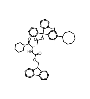 O=C(C[C@H](NC(=O)OCC1c2ccccc2-c2ccccc21)C(=O)N1CCCCC1)OC(c1ccccc1)(c1ccc(C2CCCCCCC2)cc1)c1ccccc1Cl